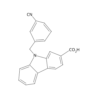 [C-]#[N+]c1cccc(Cn2c3ccccc3c3ccc(C(=O)O)cc32)c1